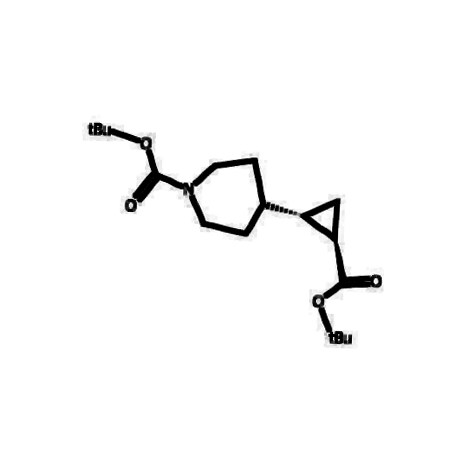 CC(C)(C)OC(=O)[C@@H]1C[C@H]1C1CCN(C(=O)OC(C)(C)C)CC1